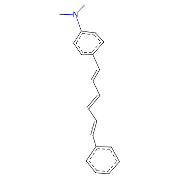 CN(C)c1ccc(/C=C/C=C/C=C/c2ccccc2)cc1